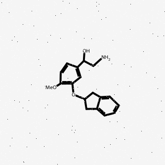 COc1ccc(C(O)CN)cc1OC1Cc2ccccc2C1